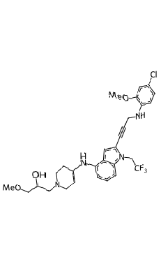 COCC(O)CN1CCC(Nc2cccc3c2cc(C#CCNc2ccc(Cl)cc2OC)n3CC(F)(F)F)CC1